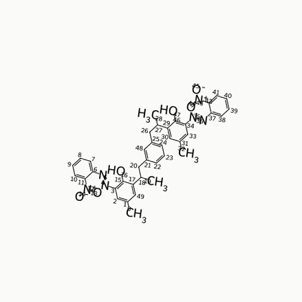 Cc1cc(N=Nc2ccccc2[N+](=O)[O-])c(O)c(C(C)Cc2cccc(CC(C)c3cc(C)cc(N=Nc4ccccc4[N+](=O)[O-])c3O)c2)c1